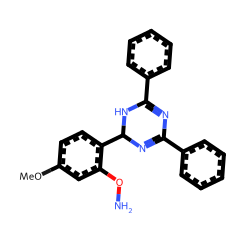 COc1ccc(C2N=C(c3ccccc3)N=C(c3ccccc3)N2)c(ON)c1